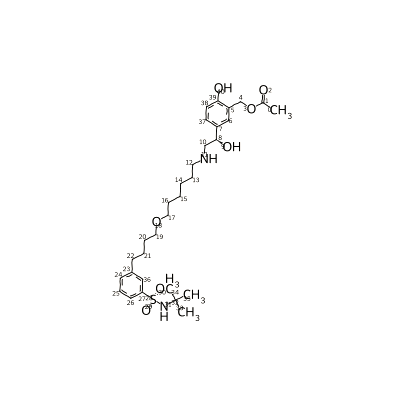 CC(=O)OCc1cc([C@@H](O)CNCCCCCCOCCCCc2cccc(S(=O)(=O)NC(C)(C)C)c2)ccc1O